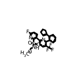 COCNS(=O)(=O)c1nc(F)ccc1-c1ccc(C(F)(F)F)c(-c2ccccc2C2=CCCC2)n1